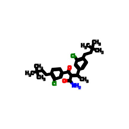 C/C(=C(\C(N)=O)C(=O)c1ccc(CCC(C)(C)C)c(Cl)c1)c1ccc(CCC(C)(C)C)c(Cl)c1